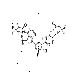 C[C@@H](C(=O)Nc1ncnn2c(-c3cc(F)c(Cl)c(C(=O)N[C@@H]4CN(C(=O)[C@H](C)C(F)(F)F)C[C@@H]4F)c3)cc(C(F)(F)F)c12)C(F)(F)F